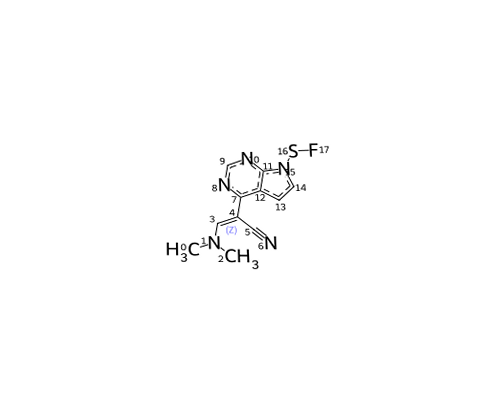 CN(C)/C=C(\C#N)c1ncnc2c1ccn2SF